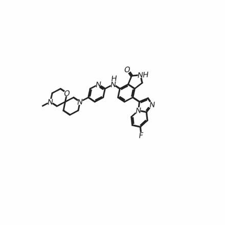 CN1CCOC2(CCCN(c3ccc(Nc4ccc(-c5cnc6cc(F)ccn56)c5c4C(=O)NC5)nc3)C2)C1